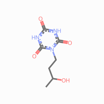 CC(O)CCn1c(=O)[nH]c(=O)[nH]c1=O